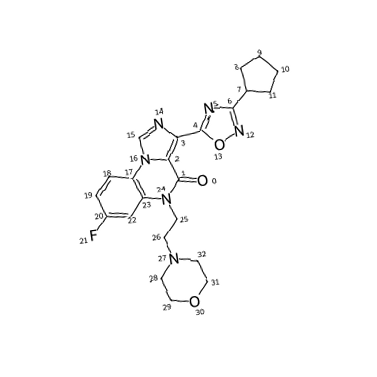 O=c1c2c(-c3nc(C4CCCC4)no3)ncn2c2ccc(F)cc2n1CCN1CCOCC1